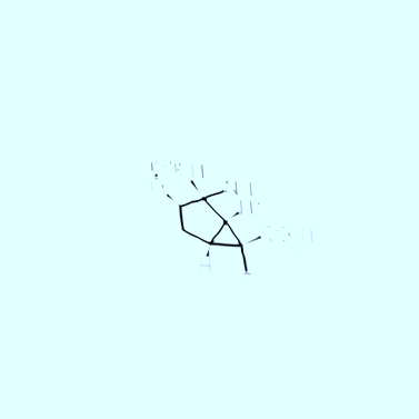 CCCO[C@@H]1C[C@@H]2[C@H]([C@@]1(C)N)[C@@]2(F)C(=O)O